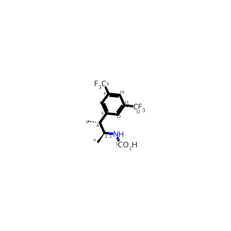 C[C@H](NC(=O)O)[C@H](C)c1cc(C(F)(F)F)cc(C(F)(F)F)c1